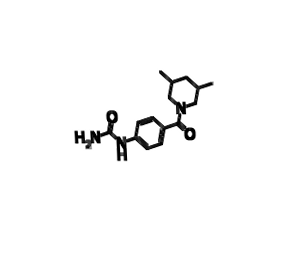 CC1CC(C)CN(C(=O)c2ccc(NC(N)=O)cc2)C1